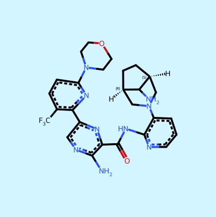 Nc1ncc(-c2nc(N3CCOCC3)ccc2C(F)(F)F)nc1C(=O)Nc1ncccc1N1C[C@H]2CC[C@@H](C1)C2N